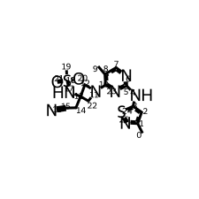 Cc1cc(Nc2ncc(C)c(N3CC(CC#N)(NS(C)(=O)=O)C3)n2)sn1